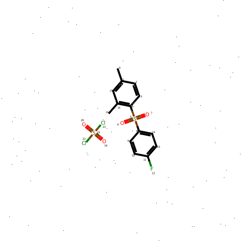 Cc1ccc(S(=O)(=O)c2ccc(F)cc2)c(C)c1.O=S(=O)(Cl)Cl